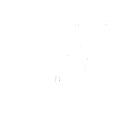 CCC(C)(CC(C)(C)C(C)(C)C(=O)NCC(C)O)C(C)(C)C